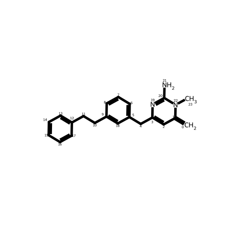 C=C1C=C(Cc2cccc(CCc3ccccc3)c2)N=C(N)N1C